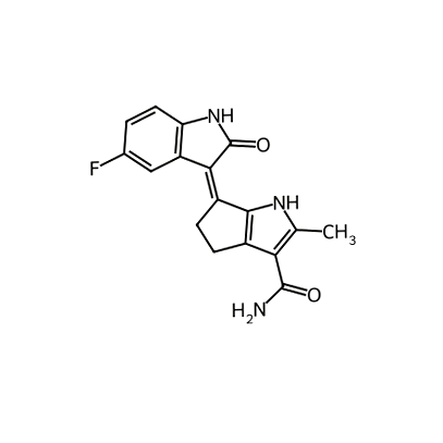 Cc1[nH]c2c(c1C(N)=O)CCC2=C1C(=O)Nc2ccc(F)cc21